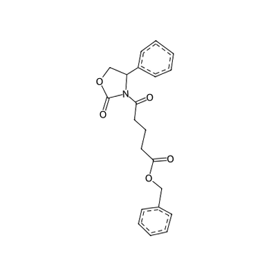 O=C(CCCC(=O)N1C(=O)OCC1c1ccccc1)OCc1ccccc1